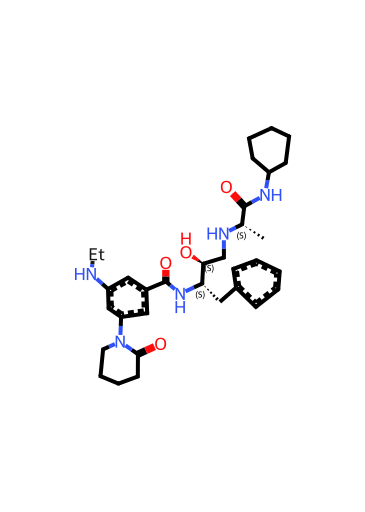 CCNc1cc(C(=O)N[C@@H](Cc2ccccc2)[C@@H](O)CN[C@@H](C)C(=O)NC2CCCCC2)cc(N2CCCCC2=O)c1